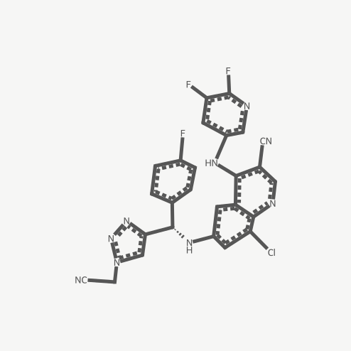 N#CCn1cc([C@@H](Nc2cc(Cl)c3ncc(C#N)c(Nc4cnc(F)c(F)c4)c3c2)c2ccc(F)cc2)nn1